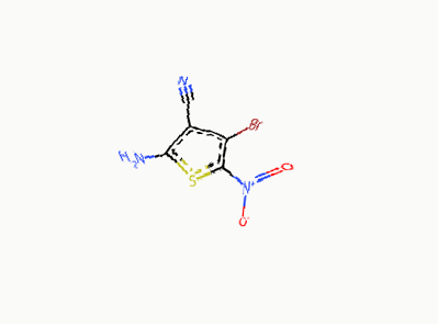 N#Cc1c(N)sc([N+](=O)[O-])c1Br